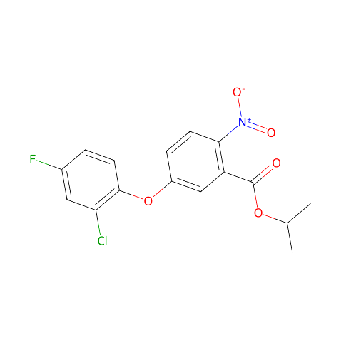 CC(C)OC(=O)c1cc(Oc2ccc(F)cc2Cl)ccc1[N+](=O)[O-]